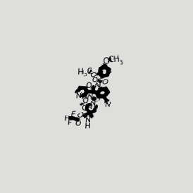 CCOc1ncccc1C1(NC(=O)N2CCC3(CC2)CNC3OC(=O)C(F)(F)F)C(=O)N(S(=O)(=O)c2ccc(OC)cc2OC)c2ccc(C#N)cc21